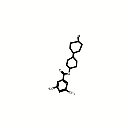 Cc1cc(C)cc(C(=O)OC2CCC(C3CCC(O)CC3)CC2)c1